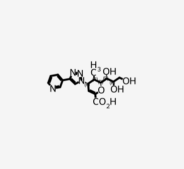 C[C@H]1[C@H]([C@H](O)[C@H](O)CO)OC(C(=O)O)=C[C@@H]1n1cc(-c2cccnc2)nn1